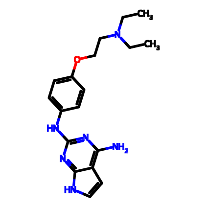 CCN(CC)CCOc1ccc(Nc2nc(N)c3cc[nH]c3n2)cc1